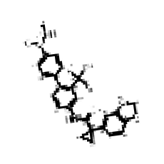 CN[S+]([O-])c1ccc(-c2ccc(NC(=O)C3(c4ccc5c(c4)OCO5)CC3)cc2C(F)(F)F)cc1